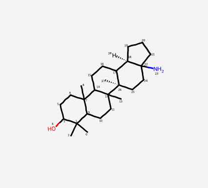 CC1(C)C(O)CCC2(C)C1CCC1(C)C2CCC2[C@H]3CCCC3(N)CC[C@]21C